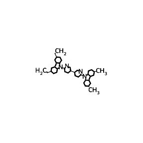 C=Cc1ccc2c(c1)c1cc(C=C)ccc1n2-c1ccc(-c2ccc(-n3c4ccc(C)cc4c4cc(C)ccc43)nc2)cn1